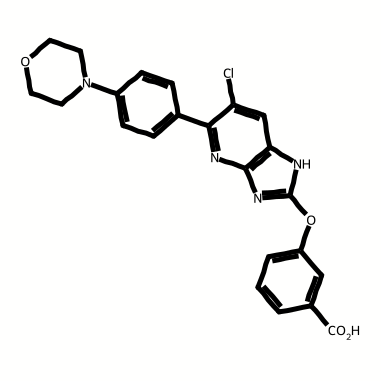 O=C(O)c1cccc(Oc2nc3nc(-c4ccc(N5CCOCC5)cc4)c(Cl)cc3[nH]2)c1